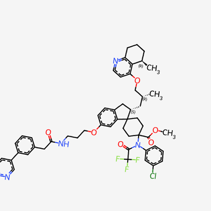 COC(=O)C1(N(C(=O)C(F)(F)F)c2cccc(Cl)c2)CCC2(CC1)c1cc(OCCCNC(=O)Cc3cccc(-c4ccnnc4)c3)ccc1C[C@@H]2C[C@@H](C)COc1ccnc2c1[C@H](C)CCC2